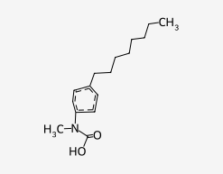 CCCCCCCCc1ccc(N(C)C(=O)O)cc1